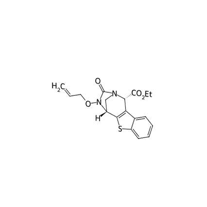 C=CCON1C(=O)N2C[C@@H]1c1sc3ccccc3c1[C@H]2C(=O)OCC